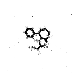 C[C@H](N)C(=O)N[C@@H]1C(=O)NCC=C[C@@H]1c1ccccc1